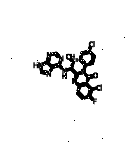 CCC(Nc1ncnc2[nH]cnc12)c1nc2ccc(F)c(Cl)c2c(=O)n1-c1ccc(Cl)cc1